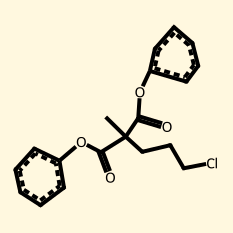 CC(CCCCl)(C(=O)Oc1ccccc1)C(=O)Oc1ccccc1